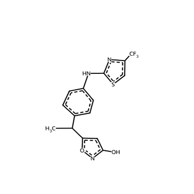 CC(c1ccc(Nc2nc(C(F)(F)F)cs2)cc1)c1cc(O)no1